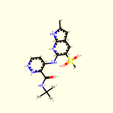 [2H]C([2H])([2H])NC(=O)c1nnccc1Nc1nc2[nH]c(C)cc2cc1S(C)(=O)=O